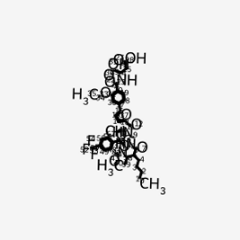 CCCCCC(C(=O)NCNC(=O)c1ccc(-c2ccc(C(=O)NC(CC(=O)O)C(=O)O)c(OCC)c2)o1)C(CC)N(C=O)OC(=O)c1ccc(C(F)(F)F)cc1C